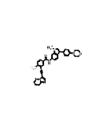 Cc1ccc(C(=O)Nc2ccc3c(-c4ccc(N5CCOCC5)cc4)cn(C)c3c2)cc1C#Cc1cnc2cccnn12